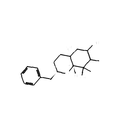 CC1(C)C(O)C(C=O)C[C@]2(C)CC[C@H](Cc3ccccc3)O[C@@H]12